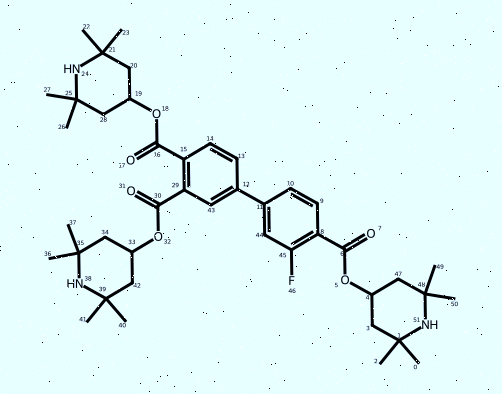 CC1(C)CC(OC(=O)c2ccc(-c3ccc(C(=O)OC4CC(C)(C)NC(C)(C)C4)c(C(=O)OC4CC(C)(C)NC(C)(C)C4)c3)cc2F)CC(C)(C)N1